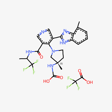 Cc1cccc2[nH]c(-c3cncc(C(=O)NC(C)C(F)(F)F)c3N3CC[C@](C)(NC(=O)O)C3)nc12.O=C(O)C(F)(F)F